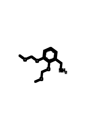 COCOc1cccc(CN)c1OCOC